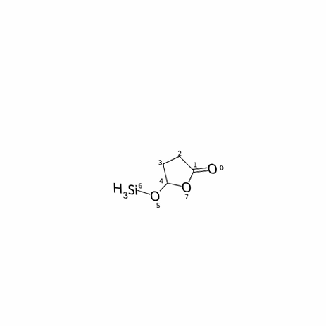 O=C1CCC(O[SiH3])O1